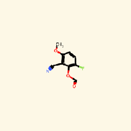 COc1ccc(F)c(OC=O)c1C#N